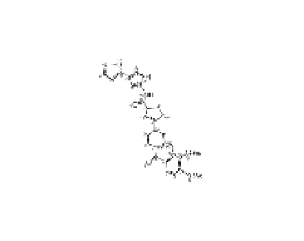 COc1ccc(C(=O)N2CCC(c3nc(C(=O)Nc4cc(-c5ccco5)n[nH]4)cs3)CC2)c(OC)c1OC